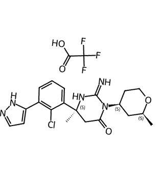 C[C@H]1C[C@@H](N2C(=N)N[C@](C)(c3cccc(-c4ccn[nH]4)c3Cl)CC2=O)CCO1.O=C(O)C(F)(F)F